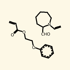 C=CC(=O)OCCOc1ccccc1.C=CN1CCCCCC1C=O